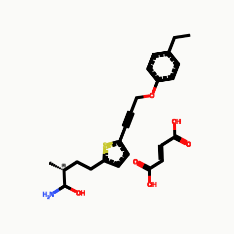 CCc1ccc(OCC#Cc2ccc(CC[C@@H](C)C(N)O)s2)cc1.O=C(O)C=CC(=O)O